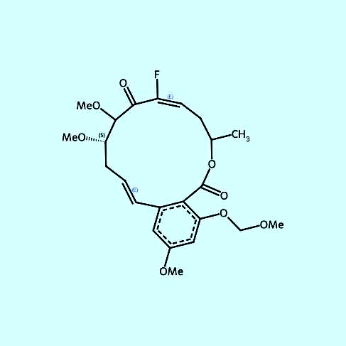 COCOc1cc(OC)cc2c1C(=O)OC(C)C/C=C(/F)C(=O)C(OC)[C@@H](OC)C/C=C/2